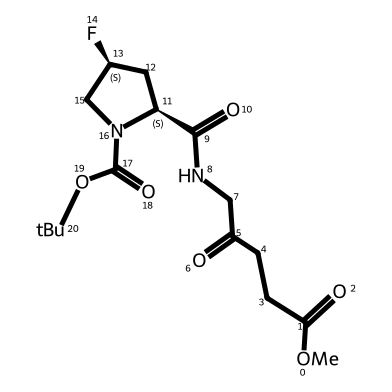 COC(=O)CCC(=O)CNC(=O)[C@@H]1C[C@H](F)CN1C(=O)OC(C)(C)C